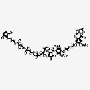 C=C1C[C@H]2C=Nc3cc(OCCCCCOc4cc(N)c(C(=O)N5CC(=C)C[C@H]5C5OCCN5C(=O)OCC(C)(C)SSCCC(=O)NCCNC(=O)CCCCCN5C(=O)C=CC5=O)cc4OC)c(OC)cc3C(=O)N2C1